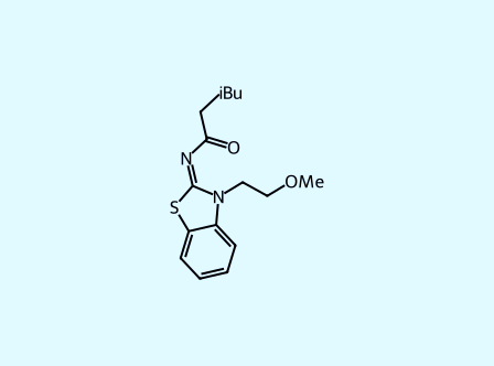 CCC(C)CC(=O)N=c1sc2ccccc2n1CCOC